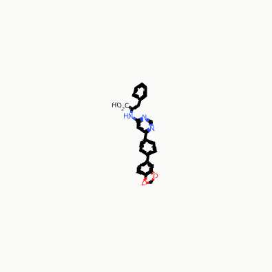 O=C(O)C(Cc1ccccc1)Nc1cc(-c2ccc(-c3ccc4c(c3)OCO4)cc2)ncn1